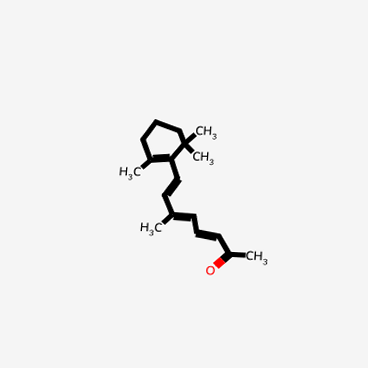 CC(=O)C=CC=C(C)C=CC1=C(C)CCCC1(C)C